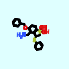 NCc1c(OCc2ccccc2)ccc2c1C(Sc1ccccc1)CS2(O)O